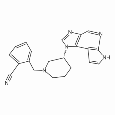 N#Cc1ccccc1CN1CCC[C@@H](n2cnc3cnc4[nH]ccc4c32)C1